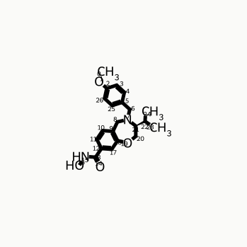 COc1ccc(CN2Cc3ccc(C(=O)NO)cc3OC[C@@H]2C(C)C)cc1